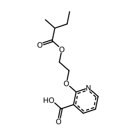 CCC(C)C(=O)OCCOc1ncccc1C(=O)O